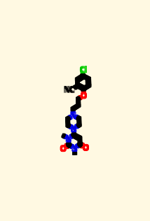 Cn1c(N2CCN(CCCOc3ccc(Cl)cc3C#N)CC2)cc(=O)n(C)c1=O